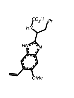 C=Cc1cc2[nH]c(C(CC(C)C)NC(=O)O)nc2cc1OC